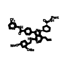 C=CCc1cnc(NCc2ccc(OC)cc2OC)c2c(-c3ccc(C(=O)Nc4cc(C(F)(F)F)ccn4)cc3)nn([C@@H]3CCC[C@@H](C(=O)NC(C)CCC)C3)c12